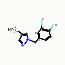 O=C(O)c1cnn(Cc2ccc(F)c(F)c2)c1